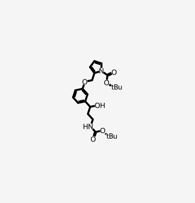 CC(C)(C)OC(=O)NCCC(O)c1cccc(OCc2cccn2C(=O)OC(C)(C)C)c1